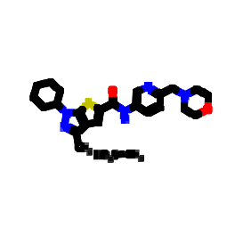 CS(=O)(=O)O.Cc1nn(C2CCCCC2)c2sc(C(=O)Nc3ccc(CN4CCOCC4)nc3)cc12